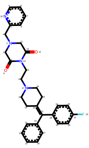 O=C1CN(Cc2ccccn2)CC(=O)N1CCN1CCC(=C(c2ccccc2)c2ccc(F)cc2)CC1